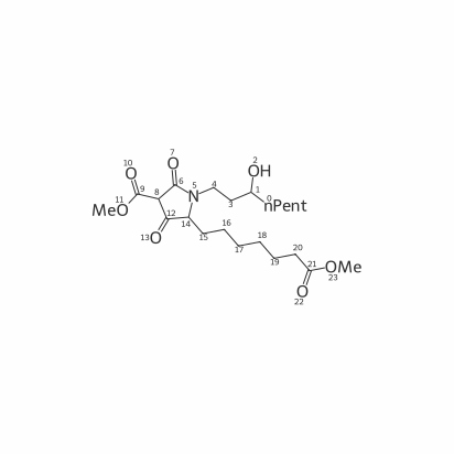 CCCCCC(O)CCN1C(=O)C(C(=O)OC)C(=O)C1CCCCCCC(=O)OC